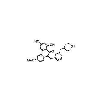 COc1ccc(N(Cc2cccc(CC3CCNCC3)c2)C(=O)c2ccc(O)cc2O)cc1